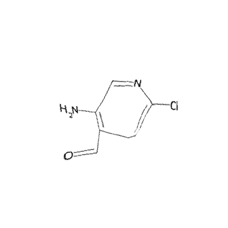 Nc1cnc(Cl)cc1C=O